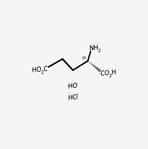 Cl.N[C@@H](CCC(=O)O)C(=O)O.[OH]